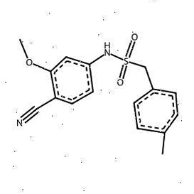 COc1cc(NS(=O)(=O)Cc2ccc(C)cc2)ccc1C#N